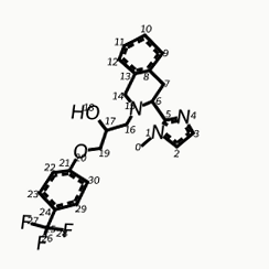 Cn1ccnc1C1Cc2ccccc2CN1CC(O)COc1ccc(C(F)(F)F)cc1